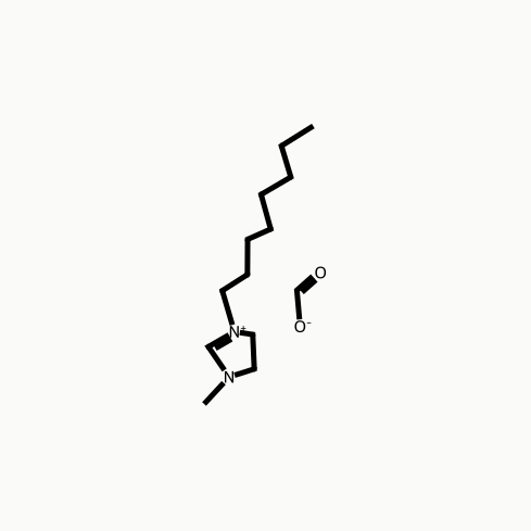 CCCCCCCC[N+]1=CN(C)CC1.O=C[O-]